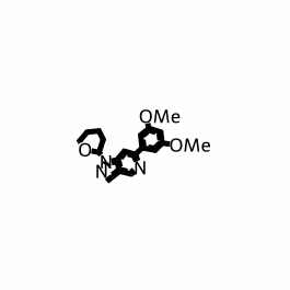 COc1cc(OC)cc(-c2cc3c(cn2)cnn3C2CCCCO2)c1